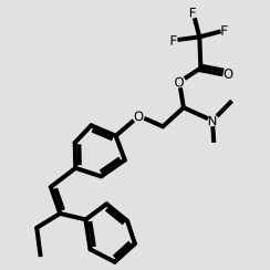 CC/C(=C/c1ccc(OCC(OC(=O)C(F)(F)F)N(C)C)cc1)c1ccccc1